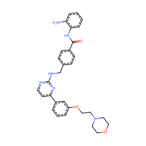 Nc1ccccc1NC(=O)c1ccc(CNc2nccc(-c3cccc(OCCN4CCOCC4)c3)n2)cc1